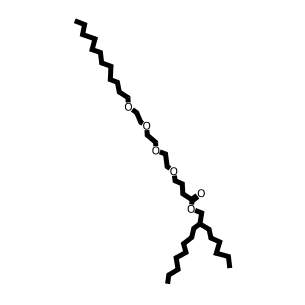 CCCCCCCCCCCCOCCOCCOCCOCCCC(=O)OCC(CCCCCC)CCCCCCCC